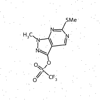 CSc1ncc2c(OS(=O)(=O)C(F)(F)F)nn(C)c2n1